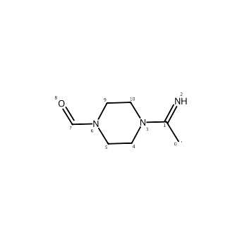 [CH2]C(=N)N1CCN(C=O)CC1